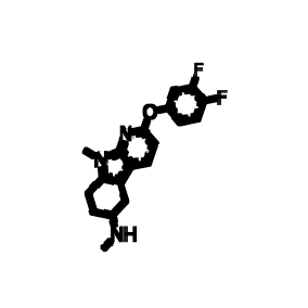 CNC1CCc2c(c3ccc(Oc4ccc(F)c(F)c4)nc3n2C)C1